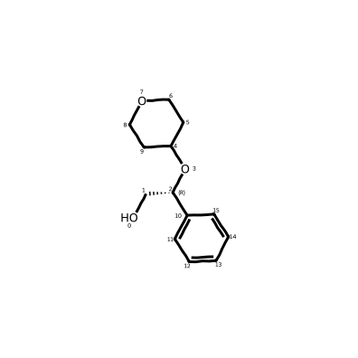 OC[C@H](OC1CCOCC1)c1ccccc1